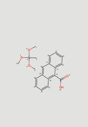 CO[Si](C)(OC)OC.O=C(O)c1c2ccccc2cc2ccccc12